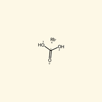 O=C(O)O.[Rb]